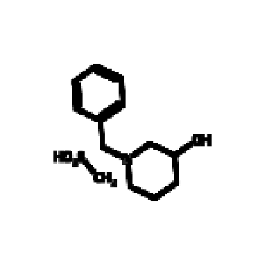 CS(=O)(=O)O.OC1CCCN(Cc2ccccc2)C1